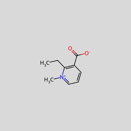 CCc1c(C(=O)[O-])ccc[n+]1C